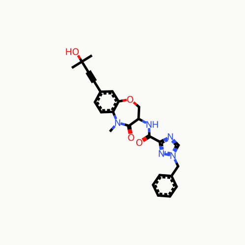 CN1C(=O)C(NC(=O)c2ncn(Cc3ccccc3)n2)COc2cc(C#CC(C)(C)O)ccc21